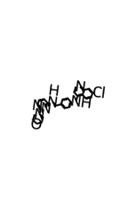 Clc1ccc2c(Nc3ccc(CNc4ccnc(N5CCOCC5)n4)cc3)ccnc2c1